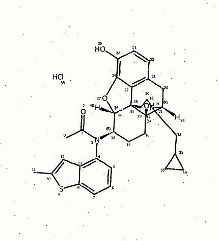 CC(=O)N(c1cccc2sc(C)cc12)[C@@H]1CC[C@@]2(O)[C@H]3Cc4ccc(O)c5c4[C@@]2(CCN3CC2CC2)[C@H]1O5.Cl